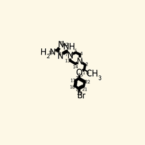 C[C@H](CN1CCN(c2nc(N)n[nH]2)CC1)Oc1ccc(Br)cc1